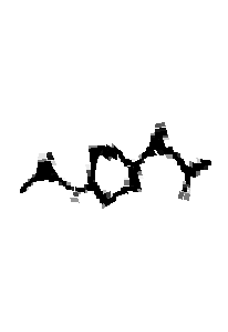 CC(=O)Nc1ccc(C(=O)C(C)Cl)cc1